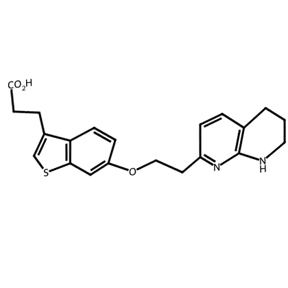 O=C(O)CCc1csc2cc(OCCc3ccc4c(n3)NCCC4)ccc12